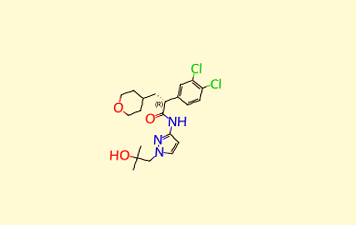 CC(C)(O)Cn1ccc(NC(=O)[C@H](CC2CCOCC2)c2ccc(Cl)c(Cl)c2)n1